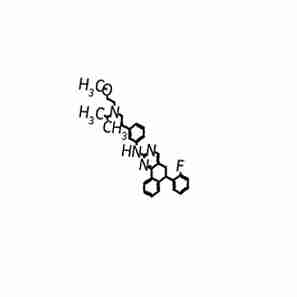 COCCN(CCc1cccc(Nc2ncc3c(n2)-c2ccccc2C(c2ccccc2F)C3)c1)C(C)C